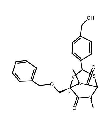 CN1C(=O)[C@]2(COCc3ccccc3)SC(c3ccc(CO)cc3)SC1C(=O)N2C